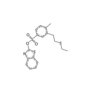 CCSCCc1cc(S(=O)(=O)Oc2nc3ccccc3s2)ccc1C